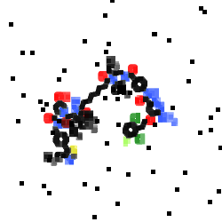 Cc1ncsc1-c1ccc(CNC(=O)[C@@H]2C[C@@H](O)CN2C(=O)[C@@H](NC(=O)CCCCCCC(=O)N2[C@H](C)CN(C(=O)c3ccc(NC(=O)c4cc(OCCc5c(Cl)ccc(F)c5Cl)c(N)nn4)cc3)C[C@@H]2C)C(C)(C)C)cc1